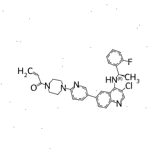 C=CC(=O)N1CCN(c2ccc(-c3ccc4ncc(Cl)c(N[C@H](C)c5ccccc5F)c4c3)cn2)CC1